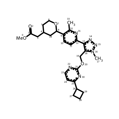 COC(=O)CC1CCOC(c2ccc(-c3nnn(C)c3COc3nccc(C4CCC4)n3)nc2C)C1